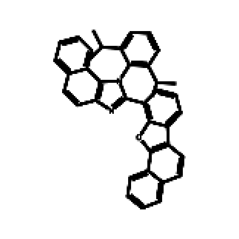 CC(C)c1cccc(C(C)C)c1-n1c(-c2cccc3c2oc2c4ccccc4ccc32)nc2ccc3ccccc3c21